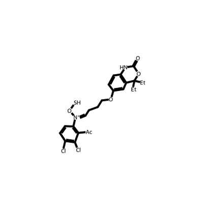 CCC1(CC)OC(=O)Nc2ccc(OCCCC=[N+](OS)c3ccc(Cl)c(Cl)c3C(C)=O)cc21